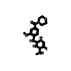 CNC1NC(Nc2ccc(C(=O)N3CCOCC3)cc2OC)NC=C1I